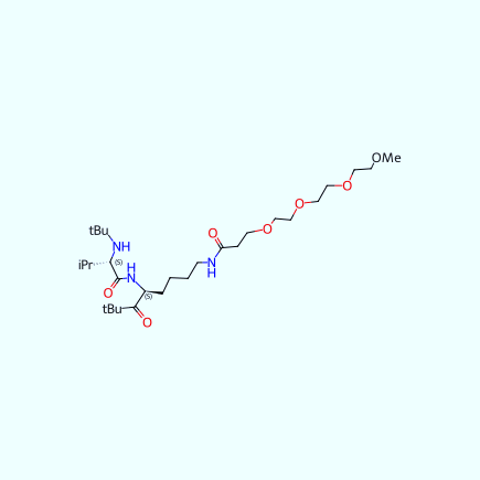 COCCOCCOCCOCCC(=O)NCCCC[C@H](NC(=O)[C@@H](NC(C)(C)C)C(C)C)C(=O)C(C)(C)C